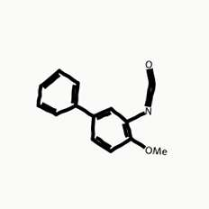 COc1ccc(-c2ccccc2)cc1N=C=O